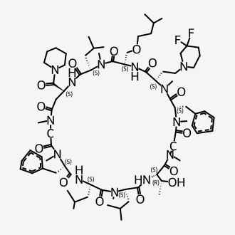 CC(C)CCOC[C@@H]1NC(=O)[C@H](CCN2CCCC(F)(F)C2)N(C)C(=O)[C@H](Cc2ccccc2)N(C)C(=O)CN(C)C(=O)[C@H]([C@@H](C)O)NC(=O)[C@H](CC(C)C)N(C)C(=O)[C@H](CC(C)C)NC(=O)[C@H](Cc2ccccc2)N(C)C(=O)CN(C)C(=O)C[C@@H](C(=O)N2CCCCC2)NC(=O)[C@H](CC(C)C)N(C)C1=O